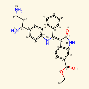 CCOC(=O)c1ccc2c(c1)NC(=O)C2=C(Nc1ccc(C(N)CCN)cc1)c1ccccc1